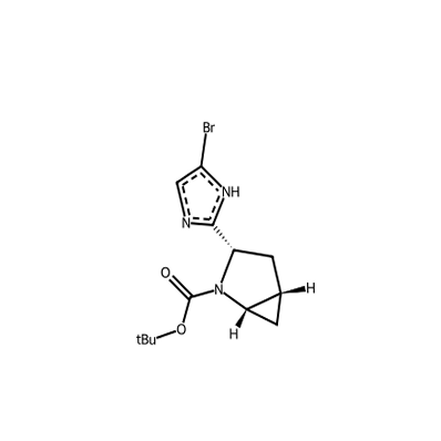 CC(C)(C)OC(=O)N1[C@H](c2ncc(Br)[nH]2)C[C@@H]2C[C@@H]21